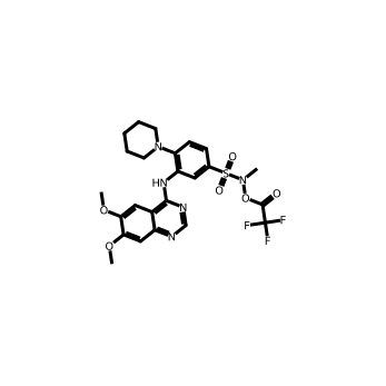 COc1cc2ncnc(Nc3cc(S(=O)(=O)N(C)OC(=O)C(F)(F)F)ccc3N3CCCCC3)c2cc1OC